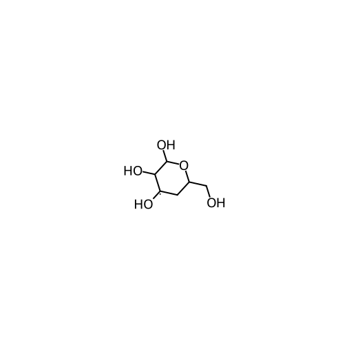 OCC1C[C](O)C(O)C(O)O1